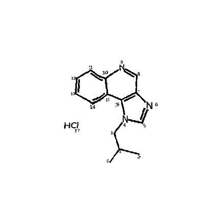 CC(C)Cn1cnc2cnc3ccccc3c21.Cl